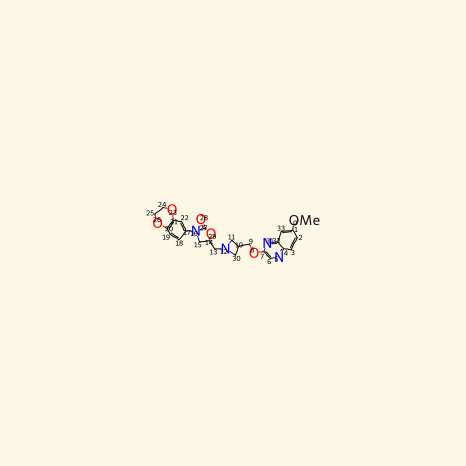 COc1ccc2ncc(OCC3CN(CC4CN(c5ccc6c(c5)OCCO6)C(=O)O4)C3)nc2c1